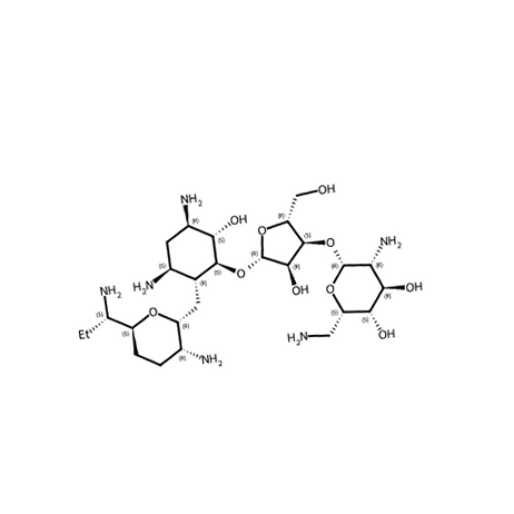 CC[C@H](N)[C@@H]1CC[C@@H](N)[C@@H](C[C@H]2[C@H](O[C@@H]3O[C@H](CO)[C@@H](O[C@H]4O[C@@H](CN)[C@@H](O)[C@H](O)[C@H]4N)[C@H]3O)[C@@H](O)[C@H](N)C[C@@H]2N)O1